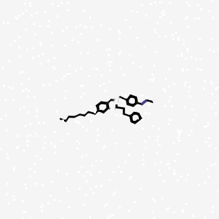 CCCCCCCCc1ccc(CN(Cc2ccc(/C=C/C=O)cc2)C(=O)CCc2ccccc2)cc1